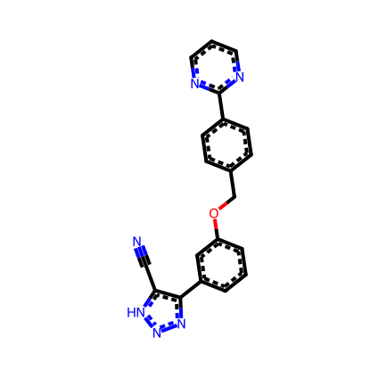 N#Cc1[nH]nnc1-c1cccc(OCc2ccc(-c3ncccn3)cc2)c1